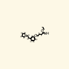 CCOC(=N)CCCOc1cccc(CCN2CCCC2)c1